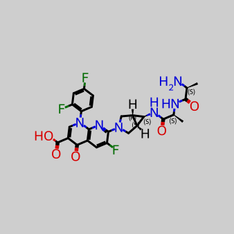 C[C@H](N)C(=O)N[C@@H](C)C(=O)N[C@H]1[C@@H]2CN(c3nc4c(cc3F)c(=O)c(C(=O)O)cn4-c3ccc(F)cc3F)C[C@@H]21